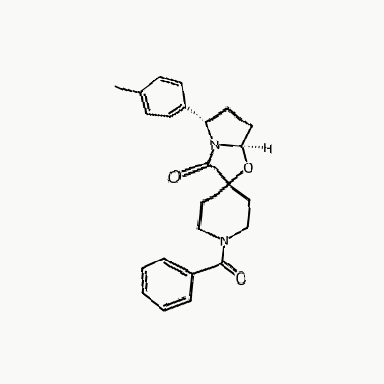 Cc1ccc([C@@H]2CC[C@H]3OC4(CCN(C(=O)c5ccccc5)CC4)C(=O)N32)cc1